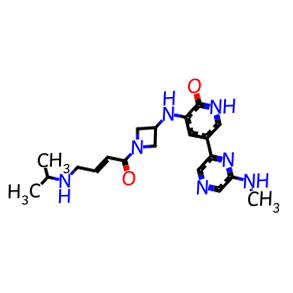 CNc1cncc(-c2c[nH]c(=O)c(NC3CN(C(=O)C=CCNC(C)C)C3)c2)n1